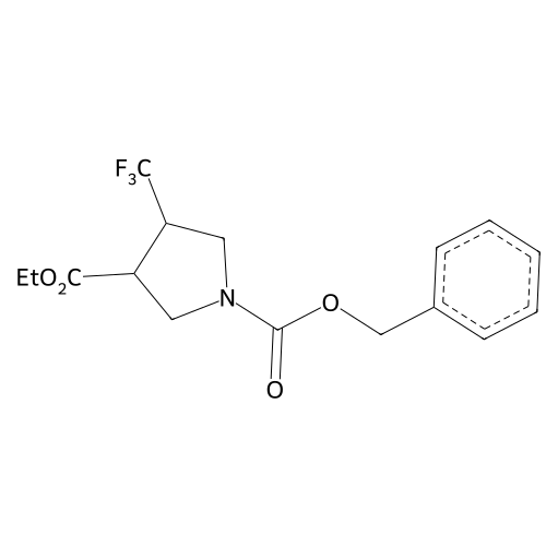 CCOC(=O)C1CN(C(=O)OCc2ccccc2)CC1C(F)(F)F